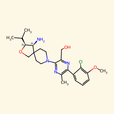 COc1cccc(-c2nc(CO)c(N3CCC4(CC3)CO[C@@H](C(C)C)[C@H]4N)nc2C)c1Cl